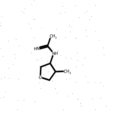 CC(=N)NC1COCC1C